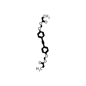 C=CC(=O)OCOc1ccc(C#Cc2ccc(OCOC(=O)C=C)cc2)cc1